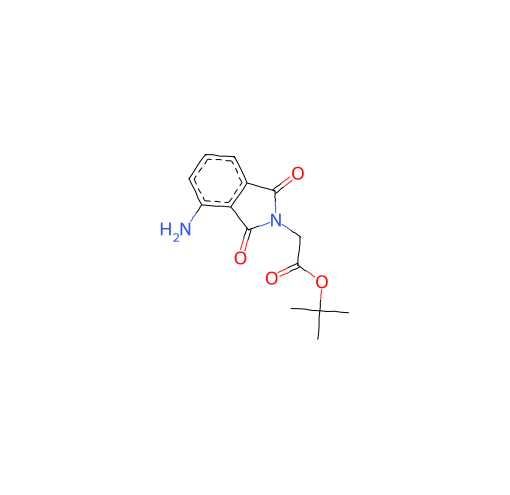 CC(C)(C)OC(=O)CN1C(=O)c2cccc(N)c2C1=O